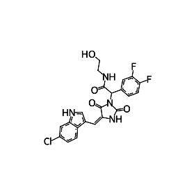 O=C(NCCO)C(c1ccc(F)c(F)c1)N1C(=O)NC(=Cc2c[nH]c3cc(Cl)ccc23)C1=O